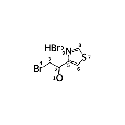 Br.O=C(CBr)c1cscn1